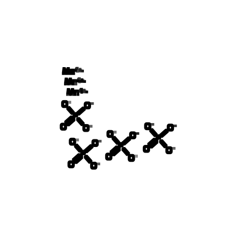 O=P([O-])([O-])[O-].O=P([O-])([O-])[O-].O=P([O-])([O-])[O-].O=P([O-])([O-])[O-].[Mn+4].[Mn+4].[Mn+4]